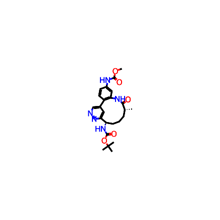 COC(=O)Nc1ccc2c(c1)NC(=O)[C@H](C)CCC[C@H](NC(=O)OC(C)(C)C)c1cc-2cnn1